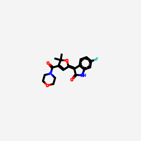 CC1(C)O/C(=C2/C(=O)Nc3cc(F)ccc32)C=C1C(=O)N1CCOCC1